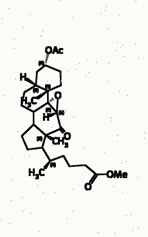 COC(=O)CCC[C@@H](C)C1CCC2C3CC[C@@H]4C[C@H](OC(C)=O)CC[C@]4(C)[C@]34O[C@@H]4C(=O)[C@@]21C